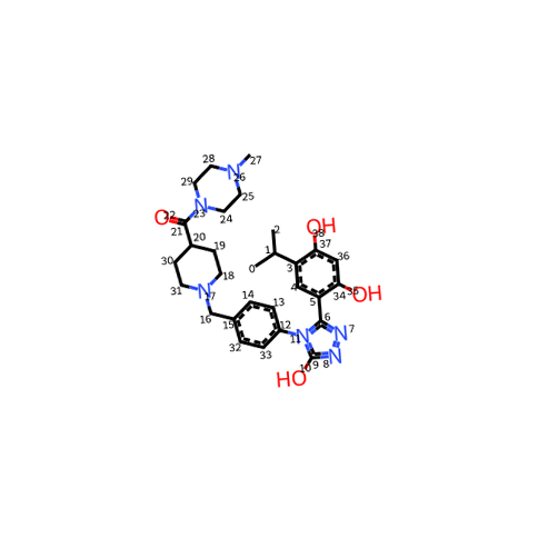 CC(C)c1cc(-c2nnc(O)n2-c2ccc(CN3CCC(C(=O)N4CCN(C)CC4)CC3)cc2)c(O)cc1O